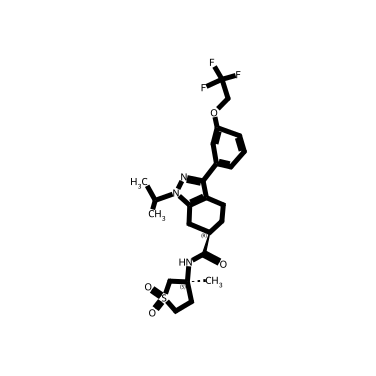 CC(C)n1nc(-c2cccc(OCC(F)(F)F)c2)c2c1C[C@H](C(=O)N[C@@]1(C)CCS(=O)(=O)C1)CC2